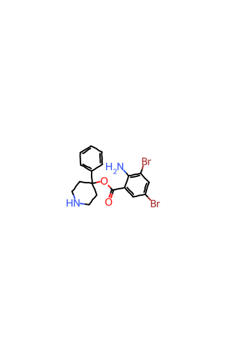 Nc1c(Br)cc(Br)cc1C(=O)OC1(c2ccccc2)CCNCC1